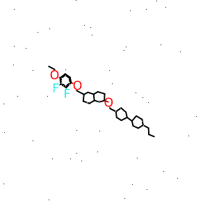 CCCC1CCC(C2CCC(COC3CCC4CC(COc5ccc(OCC)c(F)c5F)CCC4C3)CC2)CC1